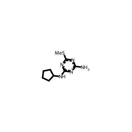 CSc1nc(N)nc(NC2CCCC2)n1